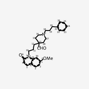 COc1ccc2ccc(=O)n(CCCC3(C=O)CCN(CCCc4ccccc4)CC3)c2c1